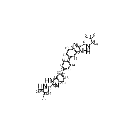 CC(C)[C@@H](C)NCc1nc2ccc(-c3ccc(-c4ccc5nc([C@@H]6CC(C)[C@@H](C)N6)[nH]c5c4)cc3)cc2[nH]1